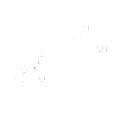 CC1(C)OB([C@H]2C[C@@H]2c2ccc(C#N)c(Cl)c2)OC1(C)C